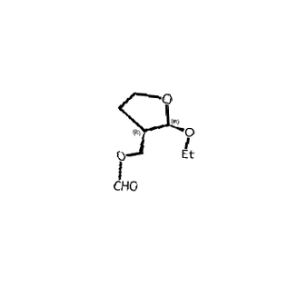 CCO[C@@H]1OCC[C@@H]1COC=O